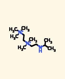 CC(C)NCC[N+](C)(C)CC[N+](C)(C)C